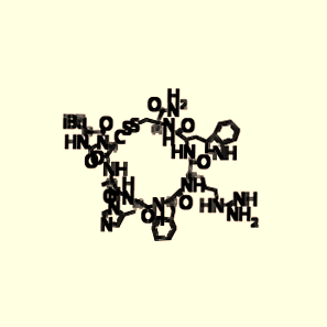 CC[C@H](C)[C@@H]1NC(=O)N([C@H]2CSSC[C@@H](C(N)=O)NC(=O)C(Cc3c[nH]c4ccccc34)NC(=O)[C@H](CCCNC(=N)N)NC(=O)[C@@H](Cc3ccccc3)NC(=O)[C@H](Cc3cnc[nH]3)NC(=O)[C@@H](C)NC2=O)C1=O